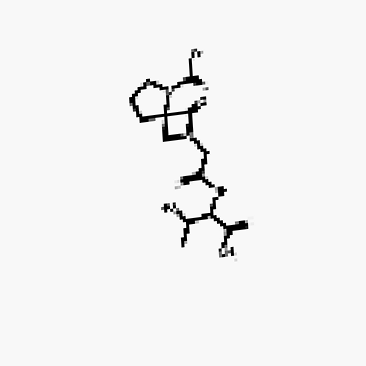 CC(C)C(=O)N1CCCC12CN(CC(=O)NC(C(N)=O)C(C)O)C2=O